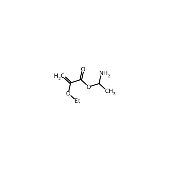 C=C(OCC)C(=O)OC(C)N